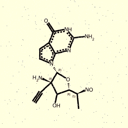 C#C[C@@]1(N)C(O)[C@@H]([C@H](C)N=O)O[C@H]1n1ccc2c(=O)[nH]c(N)nc21